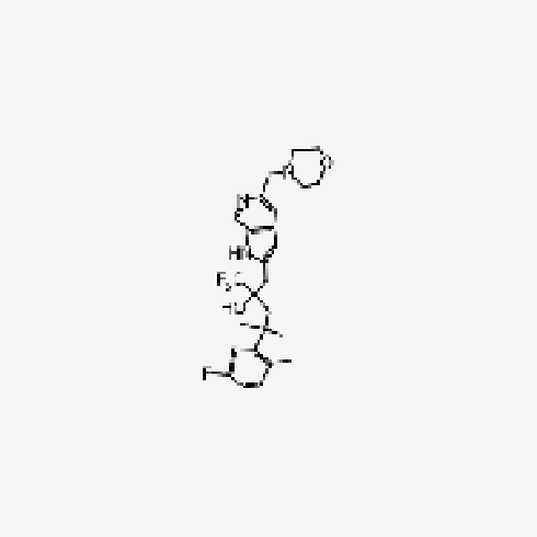 Cc1ccc(F)cc1C(C)(C)CC(O)(Cc1cc2cc(CN3CCOCC3)ncc2[nH]1)C(F)(F)F